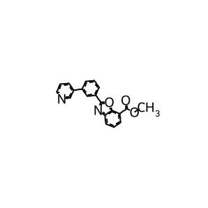 COC(=O)c1cccc2nc(-c3cccc(-c4cccnc4)c3)oc12